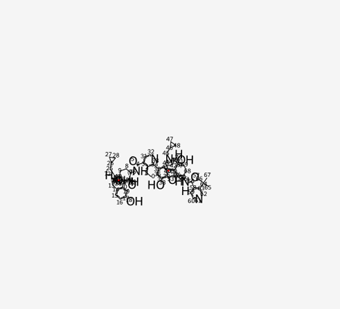 CCc1c(C(=O)N[C@@H]2CC[C@@]3(O)[C@H]4Cc5ccc(O)c6c5[C@@]3(CCN4CC3CC3)[C@H]2O6)ccnc1-c1cc(O)c2c3c1C[C@H]1N(CC4CC4)CC[C@@]34[C@@H](O2)[C@H](NC(=O)c2ccncc2C(C)(C)C)CC[C@@]14O